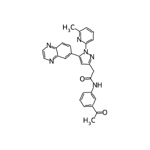 CC(=O)c1cccc(NC(=O)Cc2cc(-c3ccc4nccnc4c3)n(-c3cccc(C)n3)n2)c1